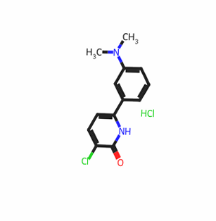 CN(C)c1cccc(-c2ccc(Cl)c(=O)[nH]2)c1.Cl